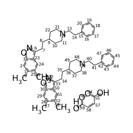 Cc1cc2onc(CCC3CCN(CCc4ccccc4)CC3)c2cc1C.Cc1cc2onc(CCC3CCN(CCc4ccccc4)CC3)c2cc1C.O=C(O)/C=C\C(=O)O